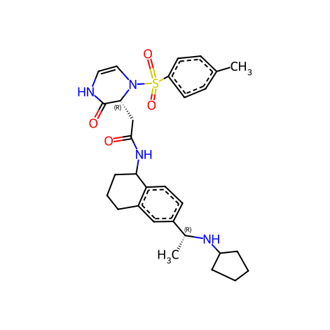 Cc1ccc(S(=O)(=O)N2C=CNC(=O)[C@H]2CC(=O)NC2CCCc3cc([C@@H](C)NC4CCCC4)ccc32)cc1